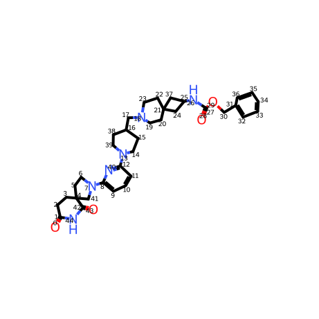 O=C1CCC2(CCN(c3cccc(N4CCC(CN5CCC6(CC5)CC(NC(=O)OCc5ccccc5)C6)CC4)n3)C2)C(=O)N1